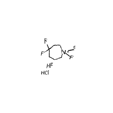 Cl.F.FC1(F)CCC[N+](F)(F)CC1